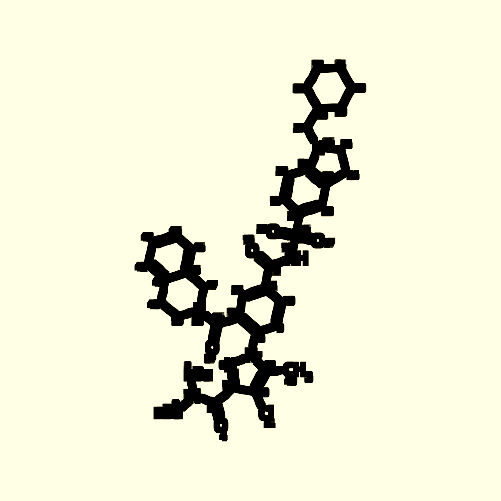 CCCCN(CCCC)C(=O)c1nn(-c2ccc(C(=O)NS(=O)(=O)c3ccc4c(c3)CCN4CC3CCCCC3)cc2C(=O)N2CCc3ccccc3C2)c(C)c1Cl